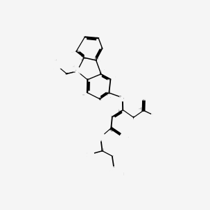 CCC(C)OC(=O)C=C(CC(=O)O)Nc1ccc2c(c1)c1ccccc1n2CC